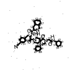 N#Cc1ccc(C[C@@H](NC(=O)[C@H]2Cc3ccccc3CN2)C(=O)N2CCC3(CC2)C(=O)N(CC(=O)NC2CCCCC2)CN3c2ccccc2)cc1